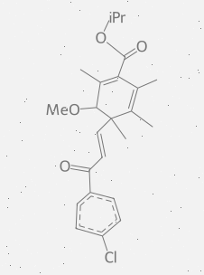 COC1C(C)=C(C(=O)OC(C)C)C(C)=C(C)C1(C)C=CC(=O)c1ccc(Cl)cc1